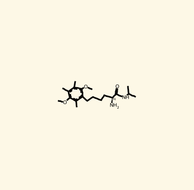 COc1c(C)c(C)c(OC)c(CCCC[C@H](N)C(=O)NC(C)C)c1C